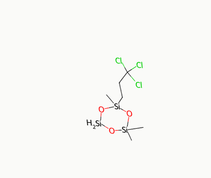 C[Si]1(C)O[SiH2]O[Si](C)(CCC(Cl)(Cl)Cl)O1